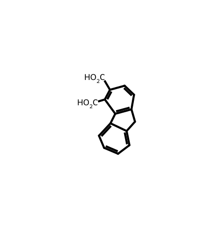 O=C(O)c1ccc2c(c1C(=O)O)-c1ccccc1C2